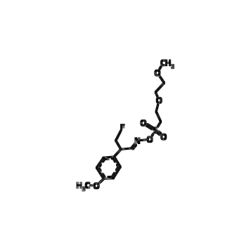 COCCOCCS(=O)(=O)ON=CC(CF)c1ccc(OC)cc1